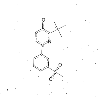 CC(C)(C)c1nn(-c2cccc(S(C)(=O)=O)c2)ccc1=O